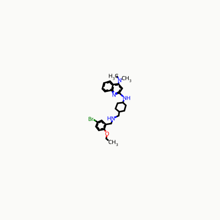 CCOc1ccc(Br)cc1CNCC1CCC(Nc2cc(N(C)C)c3ccccc3n2)CC1